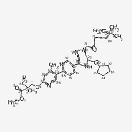 COC(=O)C(C)(C)COc1cc(C)c(-c2ccc(C3=NN(COCC[Si](C)(C)C)C(OC4CCCC4)N3)cn2)cn1